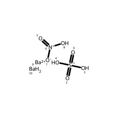 O=S(=O)(O)O.O=[N+]([O-])O.[Ba+2].[BaH2]